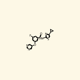 O=C(Nc1nc(C2CC2)cs1)c1cc(F)cc(Oc2cncnc2)c1